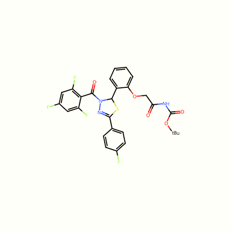 CC(C)(C)OC(=O)NC(=O)COc1ccccc1C1SC(c2ccc(F)cc2)=NN1C(=O)c1c(F)cc(F)cc1F